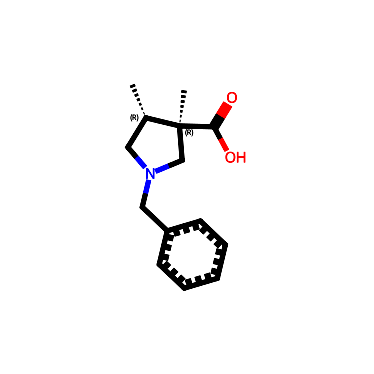 C[C@H]1CN(Cc2ccccc2)C[C@]1(C)C(=O)O